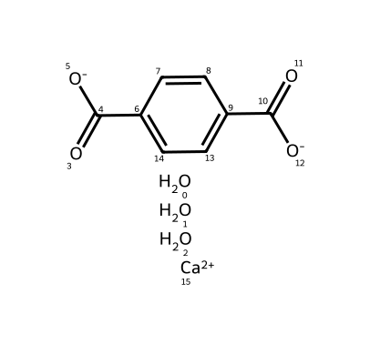 O.O.O.O=C([O-])c1ccc(C(=O)[O-])cc1.[Ca+2]